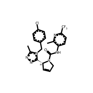 Cc1nc(C(F)(F)F)ccc1NC(=O)N1CC=C[C@@H]1c1nnc(C)n1Cc1ccc(Cl)cc1